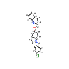 Clc1ccc(Cn2ccc3cc(OCc4ccc5ccccc5n4)ccc32)cc1